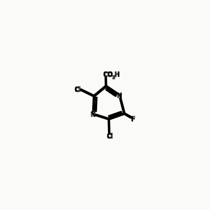 O=C(O)c1nc(F)c(Cl)nc1Cl